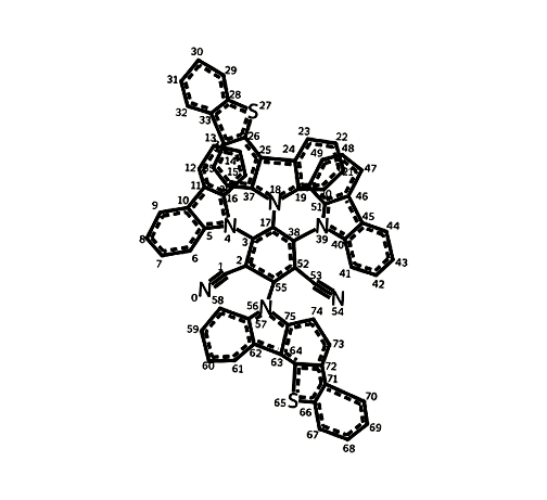 N#Cc1c(-n2c3ccccc3c3ccccc32)c(-n2c3ccccc3c3c4sc5ccccc5c4ccc32)c(-n2c3ccccc3c3ccccc32)c(C#N)c1-n1c2ccccc2c2c3sc4ccccc4c3ccc21